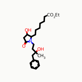 CCOC(=O)CCCCCCC1C(O)CC(=O)N1CCC(C)(O)Cc1ccccc1